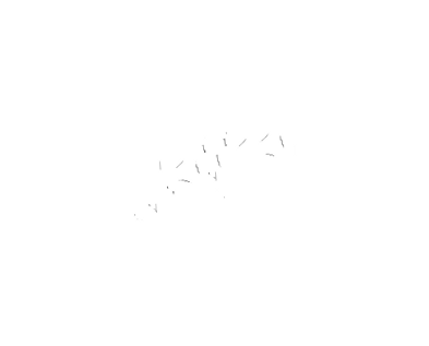 CC(=O)N1CCN(c2cc3c(cc2F)c(=O)c(C(=O)C=Cc2ccc(F)cc2)cn3C2CC2)CC1